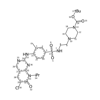 Cc1cc(S(=O)(=O)NCCN2CCN(C(=O)OC(C)(C)C)CC2)ccc1Nc1ncc2cc(Cl)c(=O)n(C(C)C)c2n1